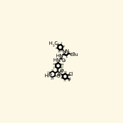 Cc1ccc(-n2nc(C(C)(C)C)cc2NC(=O)Nc2ccc(C(C3CCNCC3)S(=O)(=O)c3ccc(F)c(Cl)c3)cc2)cc1